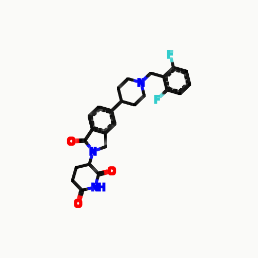 O=C1CCC(N2Cc3cc(C4CCN(Cc5c(F)cccc5F)CC4)ccc3C2=O)C(=O)N1